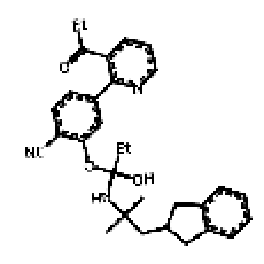 CCC(=O)c1cccnc1-c1ccc(C#N)c(OC(O)(CC)NC(C)(C)CC2Cc3ccccc3C2)c1